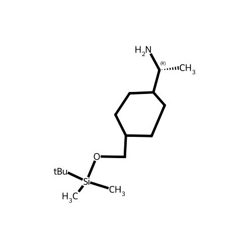 C[C@@H](N)C1CCC(CO[Si](C)(C)C(C)(C)C)CC1